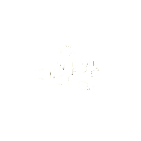 Cc1cccc(N(Cc2ccccc2)Cc2ccccc2)c1Pc1cc(C(C)(C)C)cc(C(C)(C)C)c1O